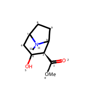 COC(=O)[C@H]1C(O)CC2CCC1N2C